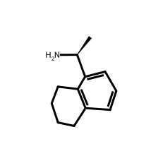 C[C@H](N)c1cccc2c1CCCC2